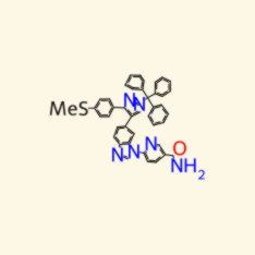 CSc1ccc(-c2nn(C(c3ccccc3)(c3ccccc3)c3ccccc3)cc2-c2ccc3ncn(-c4ccc(C(N)=O)cn4)c3c2)cc1